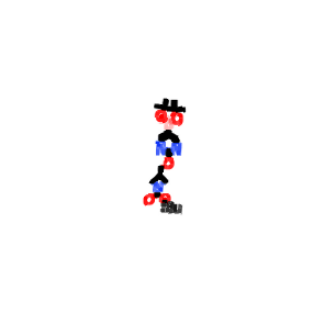 CC(C)(C)OC(=O)N1CC(COc2ncc(B3OC(C)(C)C(C)(C)O3)cn2)C1